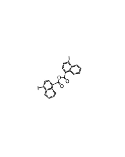 O=C(OC(=O)c1ccc(I)c2ccccc12)c1ccc(I)c2ccccc12